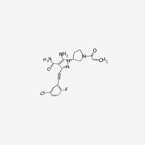 C=CC(=O)N1CC[C@H](n2nc(C#Cc3cc(Cl)ccc3F)c(C(N)=O)c2N)C1